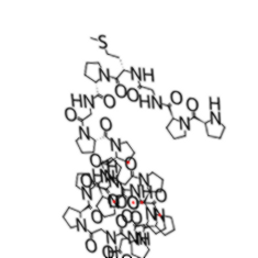 CSCC[C@H](NC(=O)CNC(=O)[C@@H]1CCCN1C(=O)[C@@H]1CCCN1)C(=O)N1CCC[C@H]1C(=O)NCC(=O)N1CCC[C@H]1C(=O)N1CCC[C@H]1C(=O)NCC(=O)N1CCC[C@H]1C(=O)N1CCC[C@H]1C(=O)NCC(=O)N1CCC[C@H]1C(=O)N1CCC[C@H]1C(=O)NCC(=O)N1CCC[C@H]1C(=O)N1CCC[C@H]1C(=O)NCC(=O)N1CCC[C@H]1C(=O)N1CCC[C@H]1C(=O)NCC(=O)O